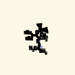 C=P(OC(/C(C)=N/C=C(\C)N)C(CCCC)CCCC)(N1CC1)N1CC1